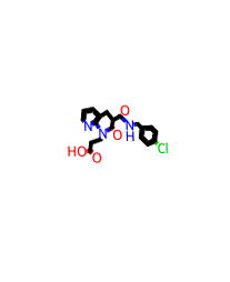 O=C(O)CCN1C(=O)C(C(=O)NCc2ccc(Cl)cc2)Cc2cccnc21